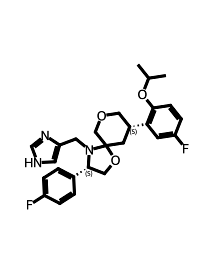 CC(C)Oc1ccc(F)cc1[C@H]1COCC2(C1)OC[C@H](c1ccc(F)cc1)N2Cc1c[nH]cn1